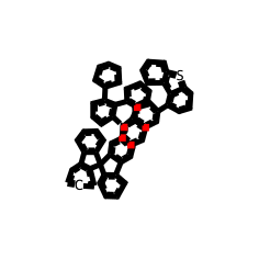 c1ccc(-c2ccccc2-c2c(-c3ccccc3)cccc2N(c2ccc(-c3cccc4sc5ccccc5c34)cc2)c2ccc3c(c2)C2(c4ccccc4-c4ccccc42)c2ccccc2-3)cc1